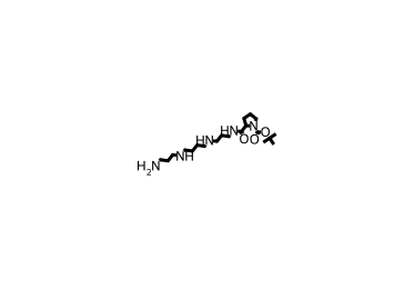 CC(C)(C)OC(=O)N1CCCC1C(=O)NCCCNCCCCNCCCN